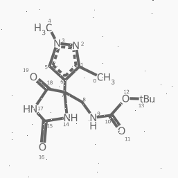 Cc1nn(C)cc1C1(CNC(=O)OC(C)(C)C)NC(=O)NC1=O